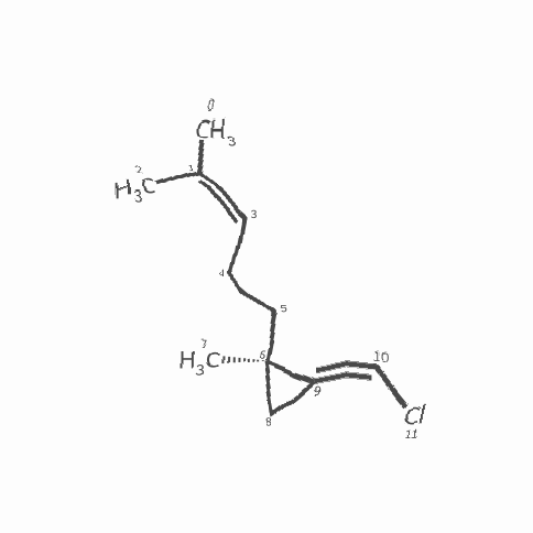 CC(C)=CCC[C@]1(C)C/C1=C\Cl